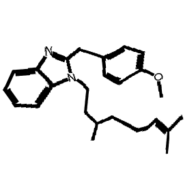 COc1ccc(Cc2nc3ccccc3n2CCC(C)CCC=C(C)C)cc1